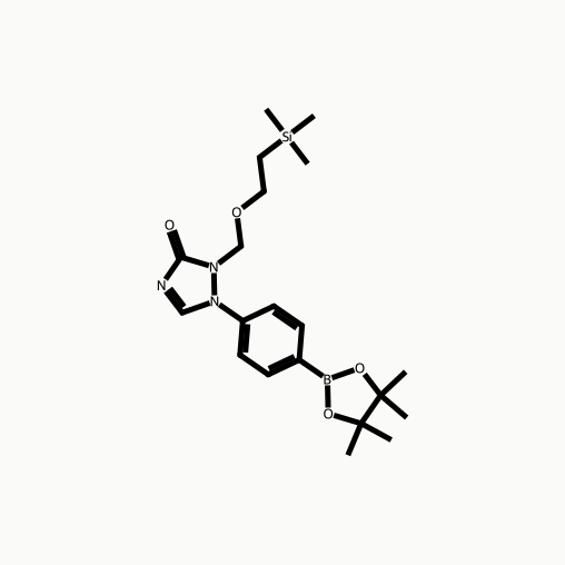 CC1(C)OB(c2ccc(-n3cnc(=O)n3COCC[Si](C)(C)C)cc2)OC1(C)C